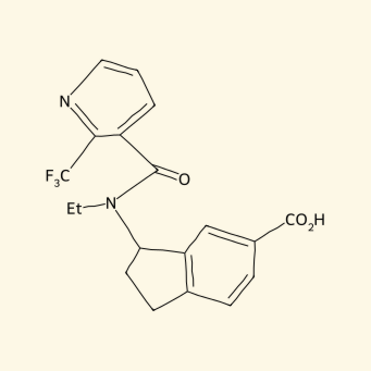 CCN(C(=O)c1cccnc1C(F)(F)F)C1CCc2ccc(C(=O)O)cc21